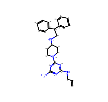 C=CCNc1nc(N)nc(N2CCC(NCC(c3ccccc3)c3ccccc3)CC2)n1